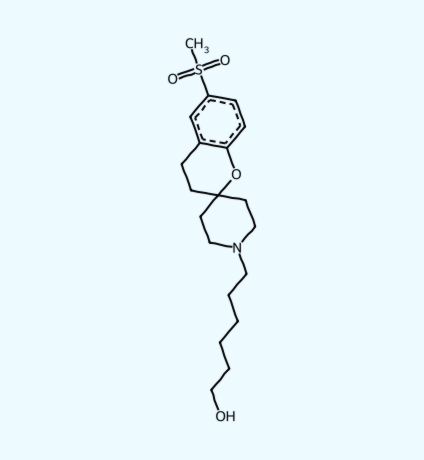 CS(=O)(=O)c1ccc2c(c1)CCC1(CCN(CCCCCCO)CC1)O2